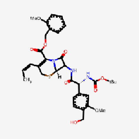 C/C=C\C1=C(C(=O)OCc2ccccc2OC)N2C(=O)C(NC(=O)[C@H](NC(=O)OC(C)(C)C)c3ccc(CO)c(OC)c3)[C@H]2SC1